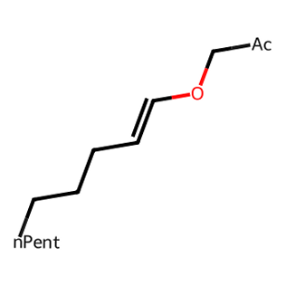 CCCCCCCCC=COCC(C)=O